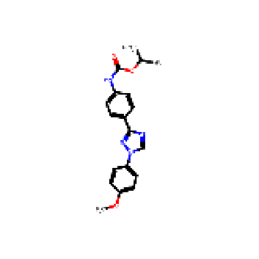 CCCCC(OC(=O)Nc1ccc(-c2ncn(-c3ccc(OC(F)(F)F)cc3)n2)cc1)C(=O)OCC